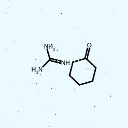 N=C(N)N.O=C1CCCCC1